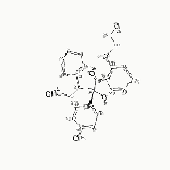 O=CC[C@H](c1ccccc1)[C@@]1(c2ccc(Cl)cc2)Oc2cccc(OCCCl)c2C1=O